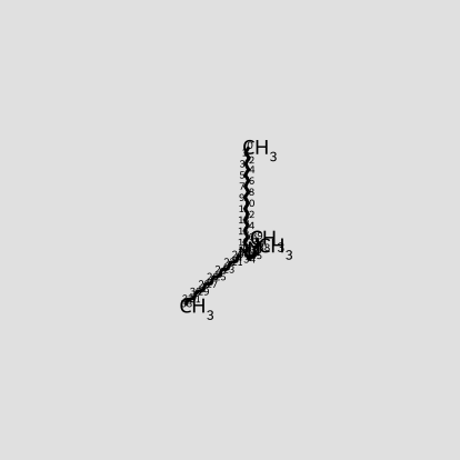 CCCCCCCCCCCCCCCCCCC1N(CCCCCCCCCCCCCC)C=CN1C(C)C